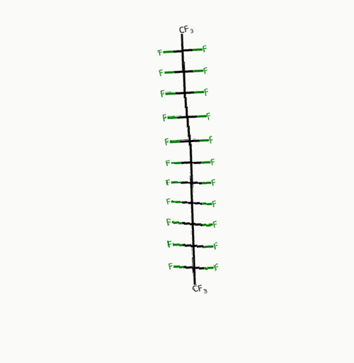 FC(F)(F)C(F)(F)C(F)(F)C(F)(F)C(F)(F)C(F)(F)C(F)(F)C(F)(F)C(F)(F)C(F)(F)C(F)(F)C(F)(F)C(F)(F)F